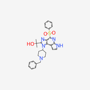 CC(C)(O)c1nc2c(S(=O)(=O)c3ccccc3)nc3[nH]ccc3c2n1C1CCN(Cc2ccccc2)CC1